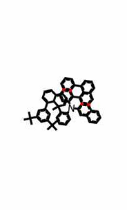 CC(C)(C)c1cc(C2=CC=CC3=CC=CC(C)(c4ccccc4N(c4ccc5ccccc5c4)c4ccccc4-c4cccc5cccc(-c6ccccc6)c45)C32)cc(C(C)(C)C)c1